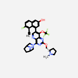 C#Cc1c(F)ccc2cc(O)cc(-c3cnc4c(N5CC6CCC(C5)N6)nc(OC[C@@H]5CCCN5C)nc4c3OC(F)(F)F)c12